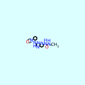 CCNC(=O)Nc1ccc2ncc(Nc3ccccc3N3CCOCC3)nc2n1